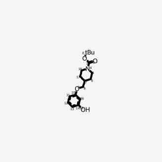 CC(C)(C)OC(=O)N1CCC(COc2cccc(O)c2)CC1